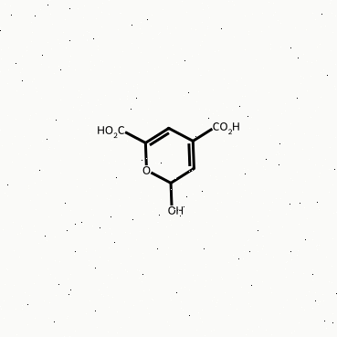 O=C(O)C1=CC(O)OC(C(=O)O)=C1